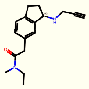 C#CCN[C@@H]1CCc2ccc(CC(=O)N(C)CC)cc21